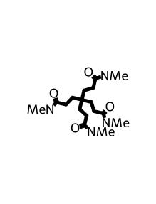 CNC(=O)CCC(CCC(=O)NC)(CCC(=O)NC)CCC(=O)NC